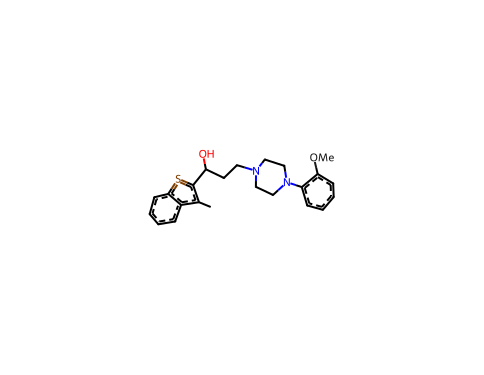 COc1ccccc1N1CCN(CCC(O)c2sc3ccccc3c2C)CC1